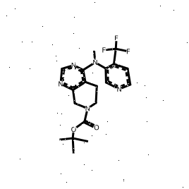 CN(c1cnccc1C(F)(F)F)c1ncnc2c1CCN(C(=O)OC(C)(C)C)C2